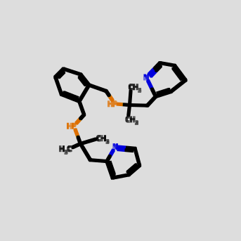 CC(C)(Cc1ccccn1)PCc1ccccc1CPC(C)(C)Cc1ccccn1